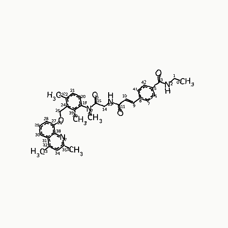 CCNC(=O)c1ccc(C=CC(=O)NCC(=O)N(C)c2ccc(C)c(COc3cccc4c(C)cc(C)nc34)c2C)cc1